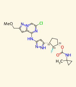 COCc1cc2c(Nc3cc([C@@H]4CC[C@H](OC(=O)NC5(C)CC5)[C@H]4F)[nH]n3)nc(Cl)cn2n1